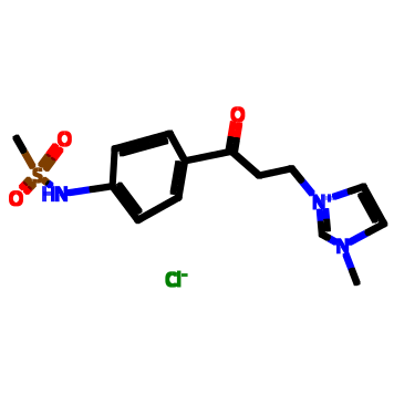 Cn1cc[n+](CCC(=O)c2ccc(NS(C)(=O)=O)cc2)c1.[Cl-]